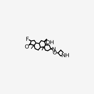 C=C1CC2C3CC(F)C(=O)[C@@]3(C)CCC2[C@@]2(C)CCC(=NOC3CCNC3)C[C@]12O